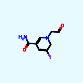 NC(=O)C1=CN(CC=O)CC(I)=C1